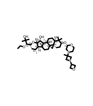 CCO[C@@H]([C@H]1C[C@@H](C)[C@H]2[C@H](O1)[C@H](O)[C@@]1(C)[C@@H]3CC[C@H]4C(C)(C)[C@@H](O[C@H]5CN(C6(C)CN(C7COC7)C6)CCO5)CC[C@@]45C[C@@]35CC[C@]21C)C(C)(C)O